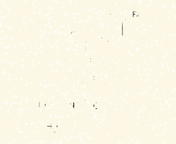 CCN(CC)C(=O)c1ccc(C(=O)c2ccc(Br)cc2)cc1